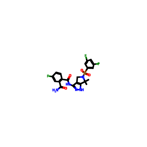 CC1(C)c2[nH]nc(NC(=O)c3ccc(F)cc3C(N)=O)c2CN1S(=O)(=O)c1cc(F)cc(F)c1